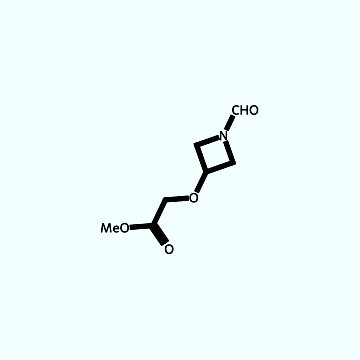 COC(=O)COC1CN(C=O)C1